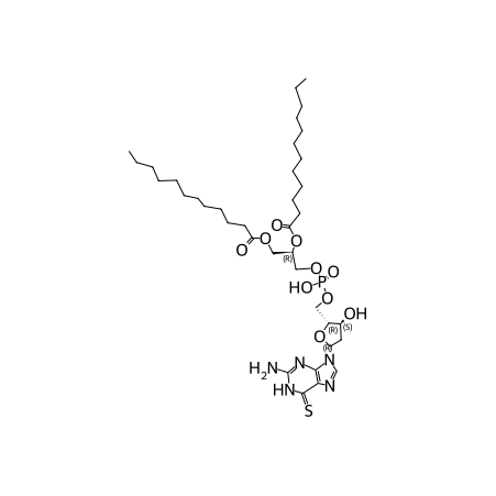 CCCCCCCCCCCC(=O)OC[C@H](COP(=O)(O)OC[C@H]1O[C@@H](n2cnc3c(=S)[nH]c(N)nc32)C[C@@H]1O)OC(=O)CCCCCCCCCCC